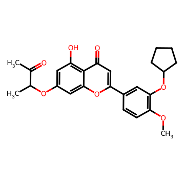 COc1ccc(-c2cc(=O)c3c(O)cc(OC(C)C(C)=O)cc3o2)cc1OC1CCCC1